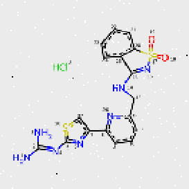 Cl.NC(N)=Nc1nc(-c2cccc(CNC3=NS(=O)(=O)c4ccccc43)n2)cs1